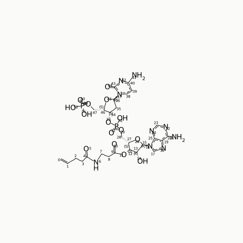 C=CCCC(=O)NCCC(=O)O[C@H]1[C@@H](O)[C@H](n2cnc3c(N)ncnc32)O[C@H]1COP(=O)(O)O[C@H]1C[C@H](n2ccc(N)nc2=O)O[C@H]1COP(=O)(O)O